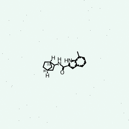 Cc1cccc2cc(C(=O)NC3C[C@@H]4CC[C@H]3C4)[nH]c12